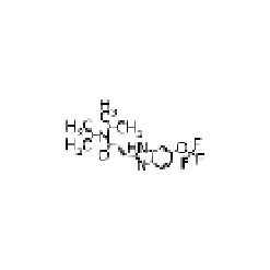 CC(C)N(C(=O)C=Cc1nc2ccc(OC(F)(F)F)cc2[nH]1)C(C)C